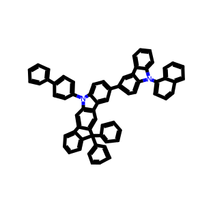 c1ccc(-c2ccc(-n3c4ccc(-c5ccc6c(c5)c5ccccc5n6-c5cccc6ccccc56)cc4c4cc5c(cc43)-c3ccccc3C5(c3ccccc3)c3ccccc3)cc2)cc1